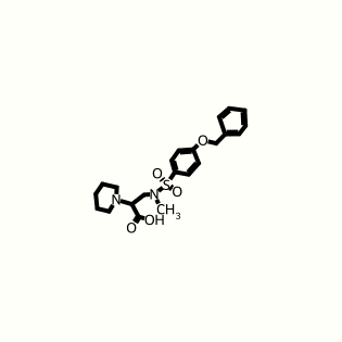 CN(CC(C(=O)O)N1CCCCC1)S(=O)(=O)c1ccc(OCc2ccccc2)cc1